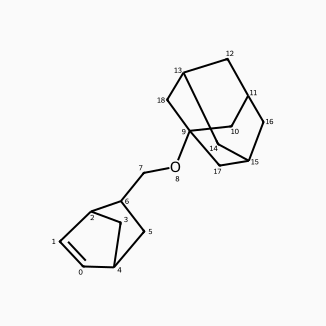 C1=CC2CC1CC2COC12CC3CC(CC(C3)C1)C2